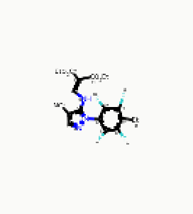 CCOC(=O)C(=CNc1c(C#N)cnn1-c1c(F)c(F)c(CC)c(F)c1F)C(=O)OCC